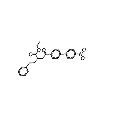 CCOC(=O)[C@H](CCc1ccccc1)CC(=O)c1ccc(-c2ccc([N+](=O)[O-])cc2)cc1